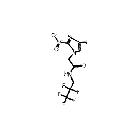 O=C(Cn1cc(I)nc1[N+](=O)[O-])NCC(F)(F)C(F)(F)F